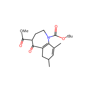 COC(=O)C1CCN(C(=O)OC(C)(C)C)C2=C(CC(C)C=C2C)C1=O